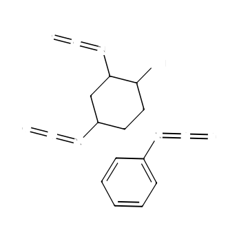 CC1CCC(N=C=O)CC1N=C=O.O=C=Nc1ccccc1